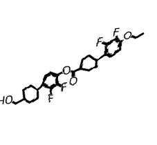 CCOc1ccc(C2CCC(C(=O)Oc3ccc(C4CCC(CO)CC4)c(F)c3F)CC2)c(F)c1F